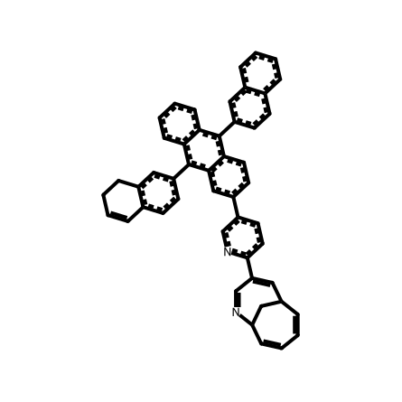 C1=CC2C=C(c3ccc(-c4ccc5c(-c6ccc7ccccc7c6)c6ccccc6c(-c6ccc7c(c6)CCC=C7)c5c4)cn3)C=NC(C=C1)C2